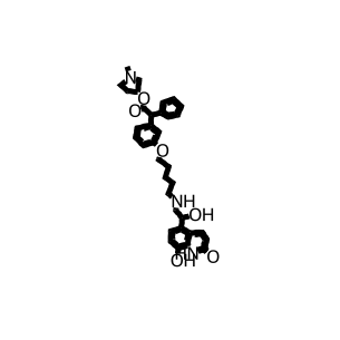 CN1CCC(OC(=O)C(c2ccccc2)c2cccc(OCCCCCNCC(O)c3ccc(O)c4[nH]c(=O)ccc34)c2)C1